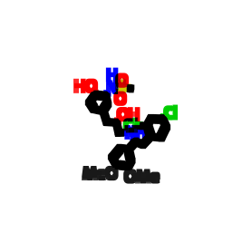 COc1ccc(C(Cc2ccc(Cl)cc2Cl)NCC(O)Cc2ccc(O)c(NS(C)(=O)=O)c2)cc1OC